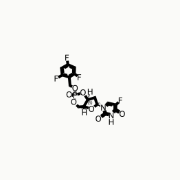 O=c1[nH]c(=O)n([C@H]2C[C@@H]3O[P@@](=O)(OCc4c(F)cc(F)cc4F)OC[C@H]3O2)cc1F